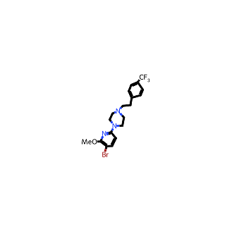 COc1nc(N2CCN(CCc3ccc(C(F)(F)F)cc3)CC2)ccc1Br